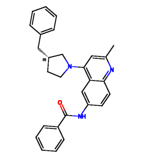 Cc1cc(N2CC[C@H](Cc3ccccc3)C2)c2cc(NC(=O)c3ccccc3)ccc2n1